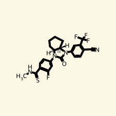 CNC(=S)c1ccc(N2C(=O)N(c3ccc(C#N)c(C(F)(F)F)c3)[C@H]3CCCC[C@@H]32)cc1F